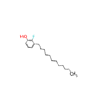 CCCCCCCCCCCCc1cccc(O)c1F